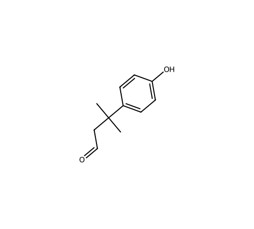 CC(C)(CC=O)c1ccc(O)cc1